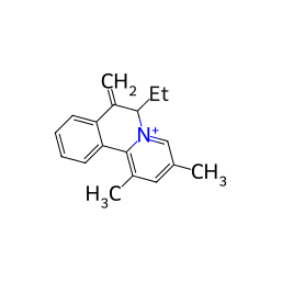 C=C1c2ccccc2-c2c(C)cc(C)c[n+]2C1CC